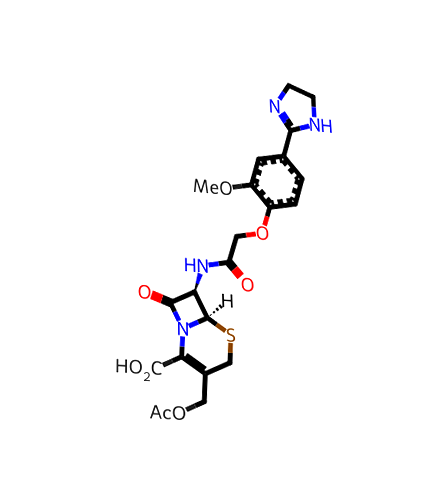 COc1cc(C2=NCCN2)ccc1OCC(=O)N[C@@H]1C(=O)N2C(C(=O)O)=C(COC(C)=O)CS[C@H]12